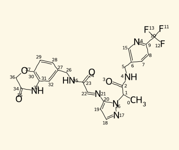 CC(C(=O)NCc1ccc(C(F)(F)F)nc1)n1nccc1/N=C/C(=O)NCc1ccc2c(c1)NC(=O)CO2